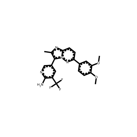 COc1ccc(-c2ccc3nc(C)c(-c4cnc(N)c(C(F)(F)F)c4)n3n2)cc1OC